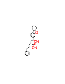 O=C(O)C(CCCc1ccccc1)CC(O)c1ccc2c3c(oc2c1)CCCC3